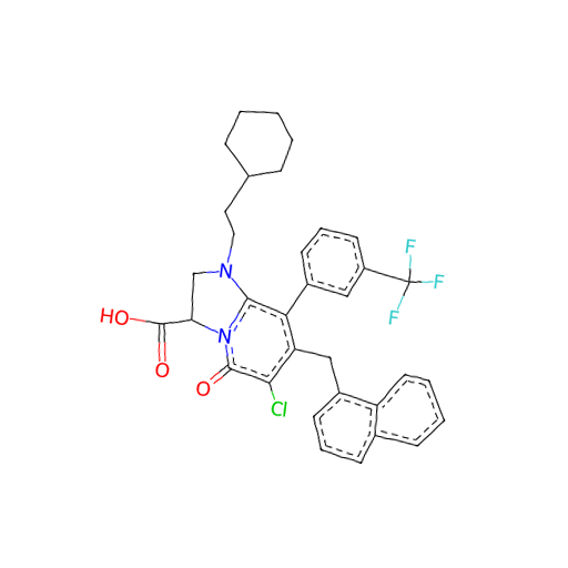 O=C(O)C1CN(CCC2CCCCC2)c2c(-c3cccc(C(F)(F)F)c3)c(Cc3cccc4ccccc34)c(Cl)c(=O)n21